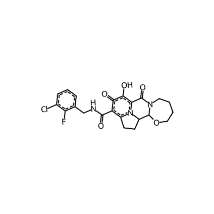 O=C(NCc1cccc(Cl)c1F)c1c2n3c(c(O)c1=O)C(=O)N1CCCCOC1C3CC2